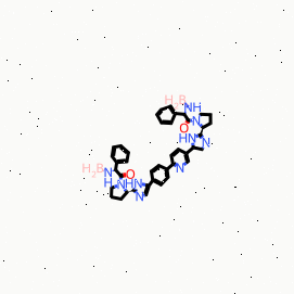 BN[C@@H](C(=O)N1CCC[C@H]1C1=NCC(c2ccc(-c3ccc(-c4cnc([C@@H]5CCCN5C(=O)[C@H](NB)c5ccccc5)[nH]4)cc3)nc2)N1)c1ccccc1